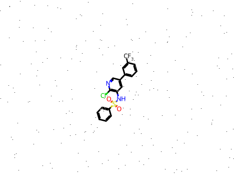 O=S(=O)(Nc1cc(-c2cccc(C(F)(F)F)c2)cnc1Cl)c1ccccc1